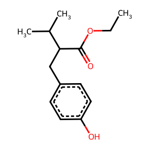 CCOC(=O)C(Cc1ccc(O)cc1)C(C)C